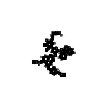 C#Cc1ccc(CN(CCOC(=O)O[C@H]2C[C@H](n3cc(C#CCN)c(=O)[nH]c3=O)O[C@@H]2CO[Si](c2ccccc2)(c2ccccc2)C(C)(C)C)CC2CCCCN2C(=O)O)cc1